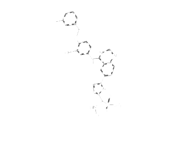 CCNC(c1nc(-c2ccc3ncnc(Nc4ccc(OCc5cccc(F)c5)c(Cl)c4)c3c2)cs1)S(C)(=O)=O